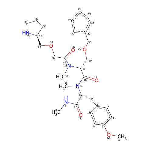 CNC(=O)[C@@H](Cc1ccc(OC)cc1)N(C)C(=O)[C@@H](COCc1ccccc1)N(C)C(=O)COC[C@@H]1CCCN1